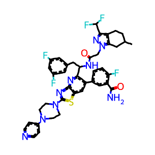 CC1CCc2c(C(F)F)nn(CC(=O)NC(Cc3cc(F)cc(F)c3)c3nc4nc(N5CCN(c6ccncc6)CC5)sc4cc3-c3ccc(F)c(C(N)=O)c3)c2C1